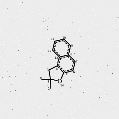 CC1(C)Cc2c(ccc3ccccc23)O1